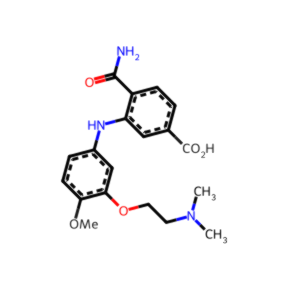 COc1ccc(Nc2cc(C(=O)O)ccc2C(N)=O)cc1OCCN(C)C